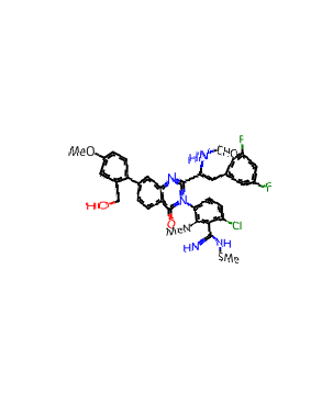 CNc1c(-n2c(C(Cc3cc(F)cc(F)c3)NC=O)nc3cc(-c4ccc(OC)cc4CO)ccc3c2=O)ccc(Cl)c1C(=N)NSC